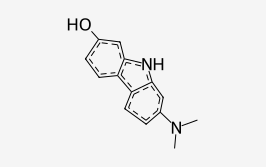 CN(C)c1ccc2c(c1)[nH]c1cc(O)ccc12